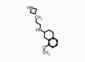 C1CNC1.CCCNC1CCc2cccc(OC)c2C1